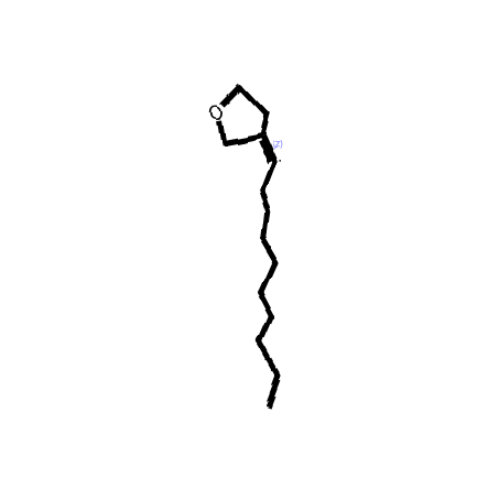 CCCCCCCCC/[C]=C1/CCOC1